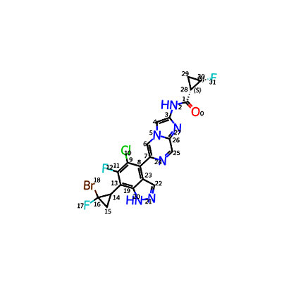 O=C(Nc1cn2cc(-c3c(Cl)c(F)c(C4CC4(F)Br)c4[nH]ncc34)ncc2n1)[C@@H]1C[C@@H]1F